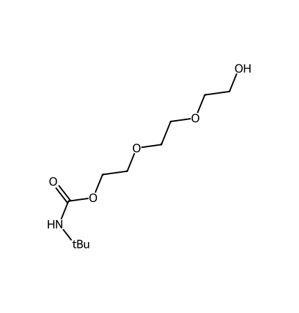 [CH2]C([CH2])(C)NC(=O)OCCOCCOCCO